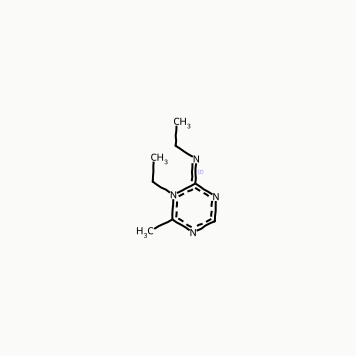 CC/N=c1/ncnc(C)n1CC